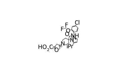 CC(C)c1ccnn1C1(C(=O)Nc2ccc(Cl)cc2OC(F)F)CCN([C@@H]2CO[C@H](C(=O)O)C2)CC1